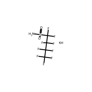 NS(=O)(=O)C(F)(F)C(F)(F)C(F)(F)C(F)(F)F.[KH]